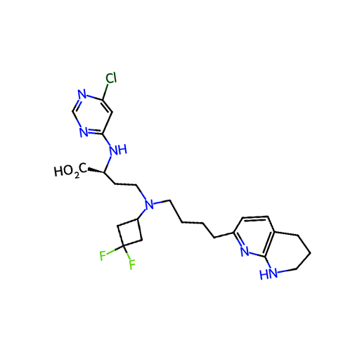 O=C(O)[C@H](CCN(CCCCc1ccc2c(n1)NCCC2)C1CC(F)(F)C1)Nc1cc(Cl)ncn1